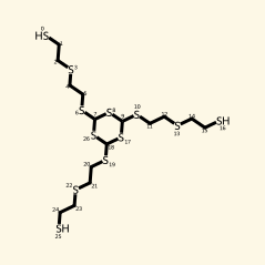 SCCSCCSC1SC(SCCSCCS)SC(SCCSCCS)S1